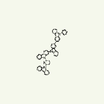 c1ccc(-n2c3ccccc3c3cc(-c4ccc5c(c4)c4ccccc4n5-c4ccc5c6ccccc6n(-c6cccc(-n7c8ccccc8c8ccccc87)n6)c5c4)ccc32)cc1